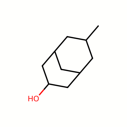 CC1CC2CC(O)CC(C1)C2